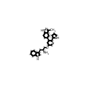 Cc1n[nH]c2ccc(-c3cc(OC[C@@H](N)Cc4c[nH]c5ccccc45)cnc3-c3ccc[nH]3)cc12